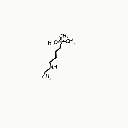 CCNCCCC[N+](C)(C)C